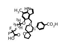 O=C(O)C(F)(F)F.[2H]C([2H])([2H])Oc1cc(C)c2[nH]ccc2c1CN1CCC2(CCCO2)C[C@H]1c1ccc(C(=O)O)cc1